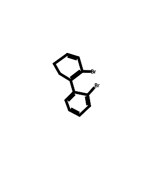 BrC1=C(c2ccccc2Br)CCC=C1